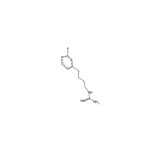 N=C(N)NCCC[CH]c1cccc(F)c1